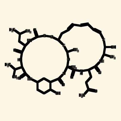 CC(C)CC1NC(=O)COC2C/C=C/C=C/C=C/CC(O)C(C)NC(=O)C(CCC(N)=O)NC(=O)C(C)(OC(=O)C3CC(CCC3O)NC(=O)C(C(C)C)NC1=O)OC(C)C2